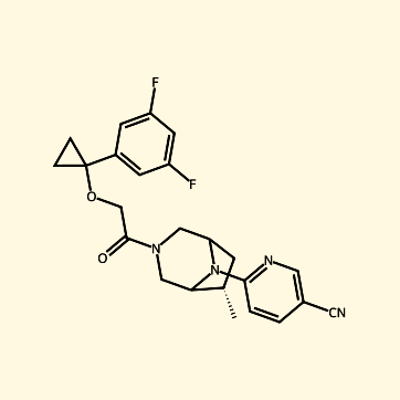 C[C@H]1CC2CN(C(=O)COC3(c4cc(F)cc(F)c4)CC3)CC1N2c1ccc(C#N)cn1